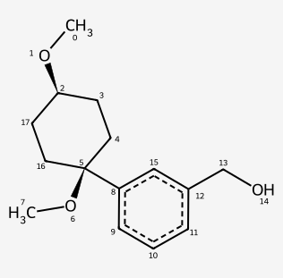 CO[C@H]1CC[C@](OC)(c2cccc(CO)c2)CC1